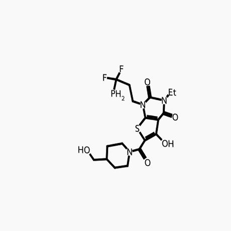 CCn1c(=O)c2c(O)c(C(=O)N3CCC(CO)CC3)sc2n(CCC(F)(F)P)c1=O